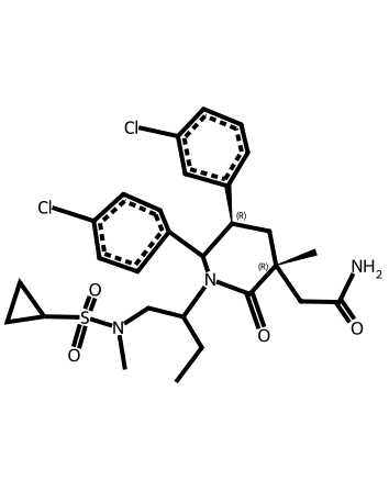 CCC(CN(C)S(=O)(=O)C1CC1)N1C(=O)[C@@](C)(CC(N)=O)C[C@H](c2cccc(Cl)c2)C1c1ccc(Cl)cc1